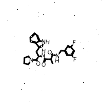 CC(C(=O)NCc1cc(F)cc(F)c1)C(=O)NC(Cc1c[nH]c2ccccc12)C(=O)N1CCCC1